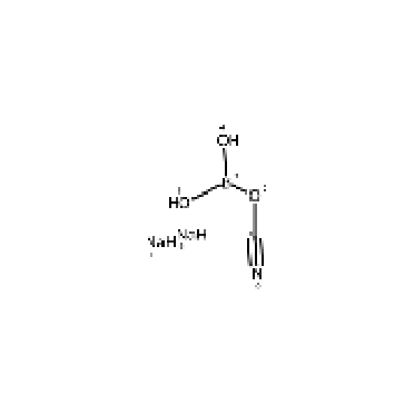 N#COB(O)O.[NaH].[NaH]